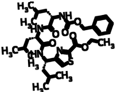 CCOC(=O)c1nc([C@H](CC(C)C)NC(=O)[C@H](CC(C)C)NC(=O)[C@H](CC(C)C)NC(=O)OCc2ccccc2)cs1